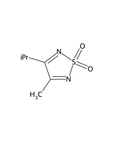 CC1=NS(=O)(=O)N=C1C(C)C